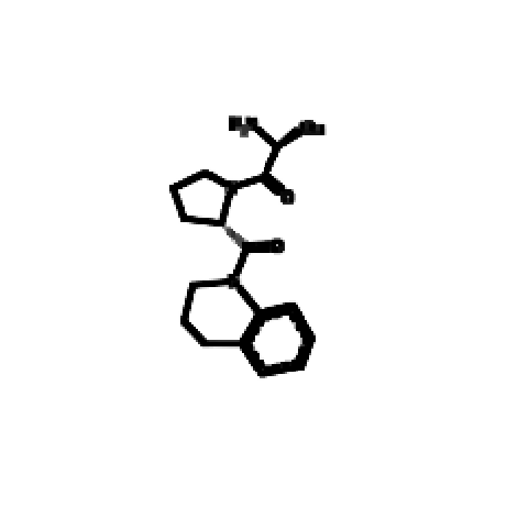 CC(C)(C)[C@H](N)C(=O)N1CCC[C@H]1C(=O)N1CCCc2ccccc21